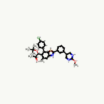 COc1ncc(-c2cccc(-c3nc4cc(C)c([C@H](OC(C)(C)C)C(C)=O)c(-c5ccc(Cl)cc5)c4s3)c2)cn1